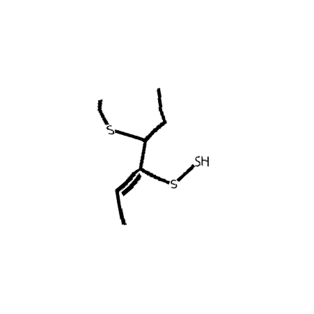 CC=C(SS)C(CC)SC